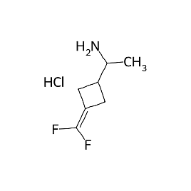 CC(N)C1CC(=C(F)F)C1.Cl